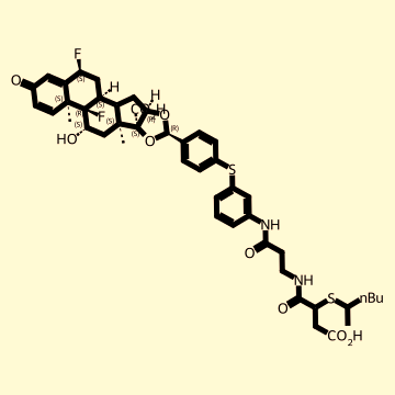 CCCCC(C)SC(CC(=O)O)C(=O)NCCC(=O)Nc1cccc(Sc2ccc([C@@H]3O[C@@H]4CC5[C@@H]6C[C@H](F)C7=CC(=O)C=C[C@]7(C)[C@@]6(F)[C@@H](O)C[C@]5(C)[C@]4(C(=O)O)O3)cc2)c1